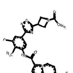 COC(=O)N1CC(c2nc(-c3cc(F)c(C)c(NC(=O)c4cnc5cc(C(N)=O)ccn45)c3)no2)C1